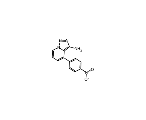 Nc1nnn2cccc(-c3ccc([N+](=O)[O-])cc3)c12